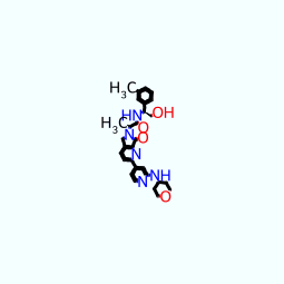 Cc1cccc([C@@H](CO)NC(=O)[C@@H](C)N2Cc3ccc(-c4ccnc(NC5CCOCC5)c4)nc3C2=O)c1